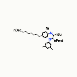 CCCCCCCCCCCCCCCCCc1ccc(N=C(CCCC)C(CCCCC)=Nc2cc(C)cc(C)c2)cc1.[Ni]